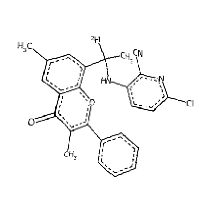 [2H]C(C)(Nc1ccc(Cl)nc1C#N)c1cc(C)cc2c(=O)c(C)c(-c3ccccc3)oc12